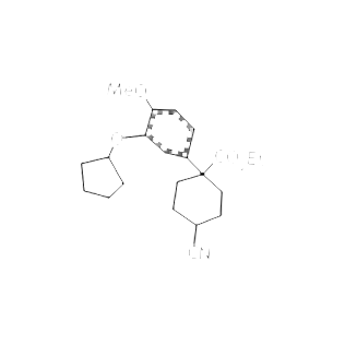 CCOC(=O)C1(c2ccc(OC)c(OC3CCCC3)c2)CCC(C#N)CC1